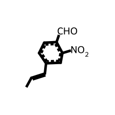 CC=Cc1ccc(C=O)c([N+](=O)[O-])c1